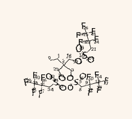 CCC(COS(=O)(=O)CC(F)(F)C(F)(F)F)(COS(=O)(=O)CC(F)(F)C(F)(F)F)COS(=O)(=O)CC(F)(F)C(F)(F)F